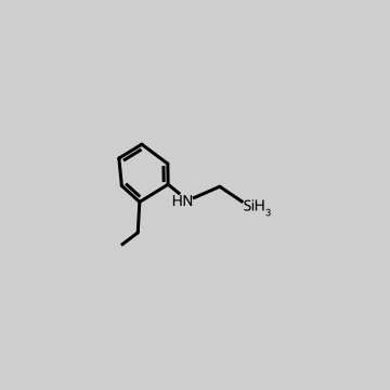 CCc1ccccc1NC[SiH3]